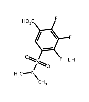 CN(C)S(=O)(=O)c1cc(C(=O)O)c(F)c(F)c1F.[LiH]